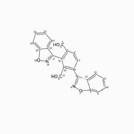 O=C(O)c1ccc(-c2noc3ccccc23)c(C(=O)O)c1-c1noc2ccccc12